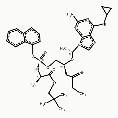 CCC(=N)C[C@@H](CO[P@](=O)(N[C@H](C)C(=O)OCC(C)(C)C)Oc1cccc2ccccc12)O[C@H](C)n1cnc2c(NC3CC3)nc(N)nc21